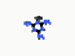 CCCCN1C(N)=NC(N)=NC1N